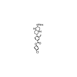 CCCCCC[C@H]1CC[C@@H]2CC(c3ccc(C(=O)Oc4ccc(Cl)cc4)cc3F)CC[C@H]2C1